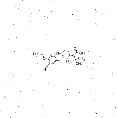 CCOc1nc(NC2CCC(N(C(=O)O)C(C)(C)C)CC2)c(Cl)cc1C#N